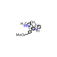 C=C1NC(C)=CC(C)=C1Cc1cc(-c2ccc(CCCOC)cc2)cc(N(CC)C2CCCCC2)c1C